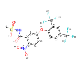 CS(=O)(=O)NC(=O)c1cc(Oc2ccc(C(F)(F)F)cc2C(F)(F)F)ccc1[N+](=O)[O-]